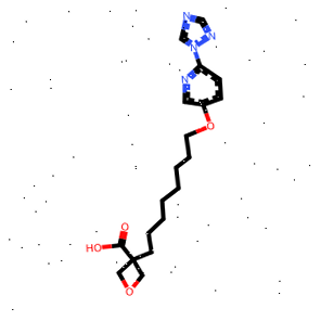 O=C(O)C1(CCCCCCCCOc2ccc(-n3cncn3)nc2)COC1